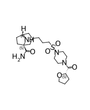 NC(=O)[C@]12CC[C@H](C[C](CCCS(=O)(=O)N3CCN(C(=O)[C@@H]4CCCO4)CC3)C1)N2